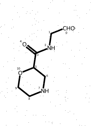 O=[C]CNC(=O)C1CNCCO1